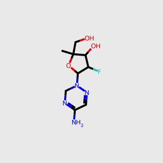 CC1(CO)OC(N2CN=C(N)C=N2)C(F)C1O